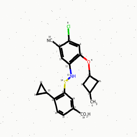 CC1CC(Oc2cc(Cl)c(C#N)cc2NSc2cc(C(=O)O)ccc2C2CC2)C1